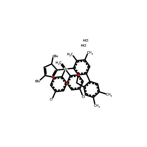 Cl.Cl.[CH2]=[Zr]([C]1=CC(C(C)(C)C)=CC1CCCC)([c]1ccc(Cl)cc1)([c]1ccc(Cl)cc1)[c]1c(C)c(C)cc2c1Cc1cc(C)c(C)cc1-2